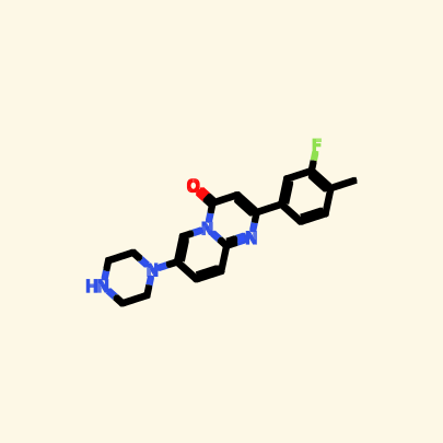 Cc1ccc(-c2cc(=O)n3cc(N4CCNCC4)ccc3n2)cc1F